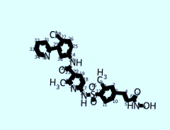 Cc1cc(/C=C/C(=O)NO)ccc1S(=O)(=O)Nc1ccc(C(=O)Nc2ccc(Cl)c(-c3ccccn3)c2)c(C)n1